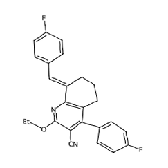 CCOc1nc2c(c(-c3ccc(F)cc3)c1C#N)CCCC2=Cc1ccc(F)cc1